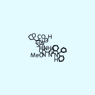 CO/N=C(\C(=O)N[C@@H]1C(=O)N2C(C(=O)O)=C(C3CCCO3)CS[C@H]12)c1csc(NC(c2ccccc2)(c2ccccc2)c2ccccc2)n1